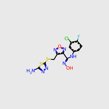 Nc1nnc(SCc2nonc2/C(=N/O)Nc2ccc(F)c(Cl)c2)s1